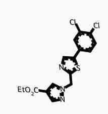 CCOC(=O)c1cnn(Cc2ncc(-c3ccc(Cl)c(Cl)c3)s2)c1